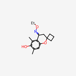 CCO/N=C1\CC2(CCC2)Oc2cc(C)c(O)c(C)c21